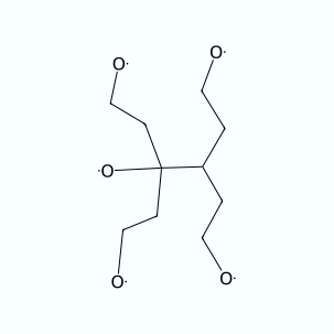 [O]CCC(CC[O])C([O])(CC[O])CC[O]